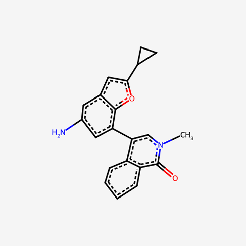 Cn1cc(-c2cc(N)cc3cc(C4CC4)oc23)c2ccccc2c1=O